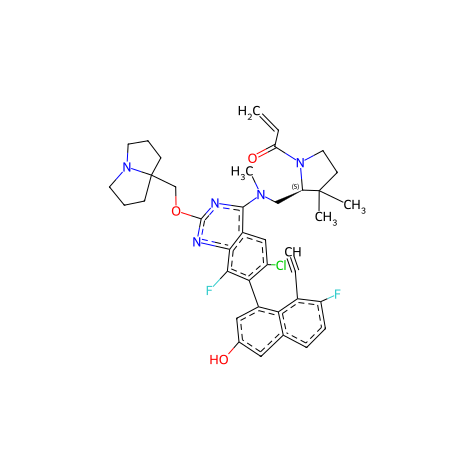 C#Cc1c(F)ccc2cc(O)cc(-c3c(Cl)cc4c(N(C)C[C@H]5N(C(=O)C=C)CCC5(C)C)nc(OCC56CCCN5CCC6)nc4c3F)c12